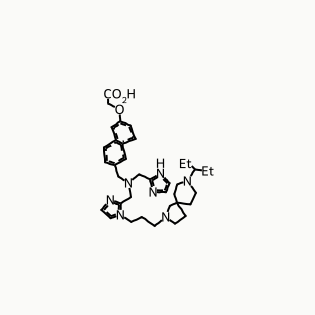 CCC(CC)N1CCC2(CCN(CCCn3ccnc3CN(Cc3ccc4cc(OCC(=O)O)ccc4c3)Cc3ncc[nH]3)C2)CC1